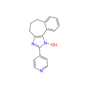 On1c(-c2ccncc2)nc2c1-c1ccccc1CCC2